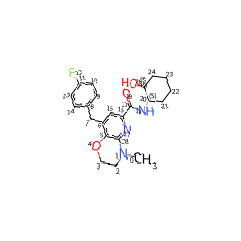 CN1CCOc2c(Cc3ccc(F)cc3)cc(C(=O)N[C@H]3CCCC[C@@H]3O)nc21